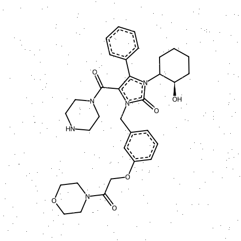 O=C(COc1cccc(Cn2c(C(=O)N3CCNCC3)c(-c3ccccc3)n(C3CCCC[C@H]3O)c2=O)c1)N1CCOCC1